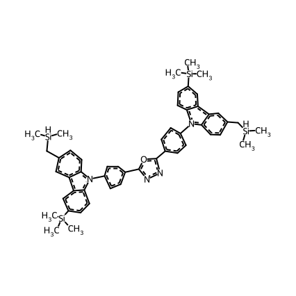 C[SiH](C)Cc1ccc2c(c1)c1cc([Si](C)(C)C)ccc1n2-c1ccc(-c2nnc(-c3ccc(-n4c5ccc(C[SiH](C)C)cc5c5cc([Si](C)(C)C)ccc54)cc3)o2)cc1